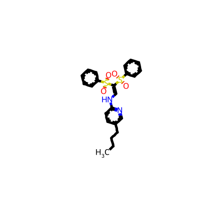 CCCCc1ccc(NC=C(S(=O)(=O)c2ccccc2)S(=O)(=O)c2ccccc2)nc1